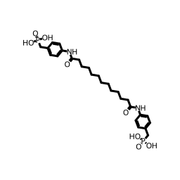 O=C(CCCCCCCCCCCC(=O)Nc1ccc(CP(=O)(O)O)cc1)Nc1ccc(CP(=O)(O)O)cc1